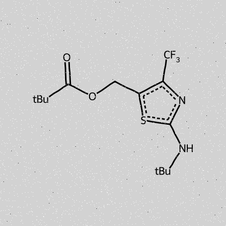 CC(C)(C)Nc1nc(C(F)(F)F)c(COC(=O)C(C)(C)C)s1